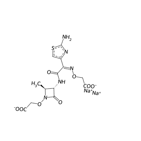 C[C@H]1[C@H](NC(=O)/C(=N\OCC(=O)[O-])c2csc(N)n2)C(=O)N1OCC(=O)[O-].[Na+].[Na+]